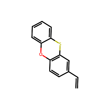 C=Cc1ccc2c(c1)Sc1ccccc1O2